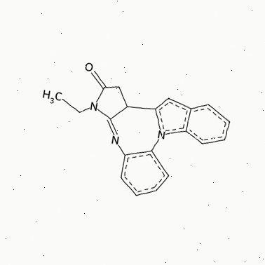 CCN1C(=O)CC2C1=Nc1ccccc1-n1c2cc2ccccc21